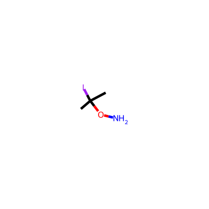 CC(C)(I)ON